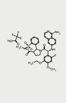 CCOc1cc([C@H](Nc2ccc3c(N)nccc3c2)C(=O)N2CCC(C(=O)O)C2c2ccccc2S(=O)(=O)CC)c(F)cc1OC.O=C(O)C(F)(F)F